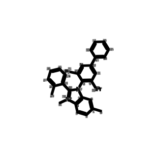 Cc1ccc2c(c1)n(-c1c(C(C)C)cc(-c3ccccc3)cc1C(C)C)c(-c1ccccc1C)[n+]2C